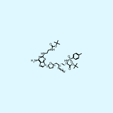 Cc1ccc(S(=O)(=O)N[C@@H](CC[C@@H](C[C@H]2[CH][CH][C@H](n3cnc4c(N)nc(NCCNC(=O)OC(C)(C)C)nc43)O2)N=[N+]=[N-])C(=O)OC(C)(C)C)cc1